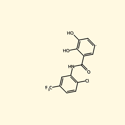 O=C(Nc1cc(C(F)(F)F)ccc1Cl)c1c[c]cc(O)c1O